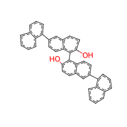 Oc1ccc2cc(-c3cccc4ccccc34)ccc2c1-c1c(O)ccc2cc(-c3cccc4ccccc34)ccc12